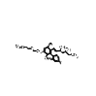 COCCOCCOc1cc(C(C)C)c(C=CC(O)CC(O)CC(=O)O)c(-c2ccc(F)cc2)c1OC